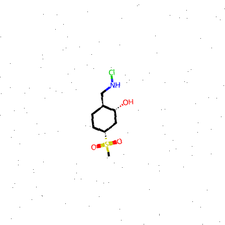 CS(=O)(=O)[C@@H]1CC[C@@H](CNCl)[C@H](O)C1